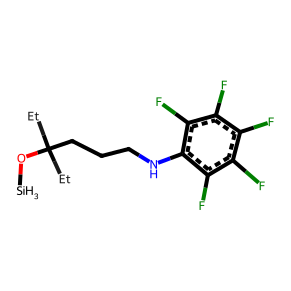 CCC(CC)(CCCNc1c(F)c(F)c(F)c(F)c1F)O[SiH3]